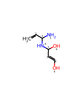 C=CC(N)NC(O)C=CO